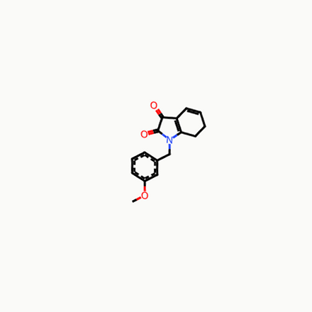 COc1cccc(CN2C(=O)C(=O)C3=C2CCC=C3)c1